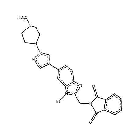 CCn1c(CN2C(=O)c3ccccc3C2=O)nc2ccc(-c3cnn(C4CCN(C(=O)O)CC4)c3)cc21